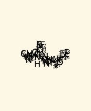 CCn1ncc(C(=O)N[C@H](c2cn3ncc(C(NC(=O)CCC(F)(F)F)C4CC4)cc3n2)C2CCC(F)(F)CC2)n1